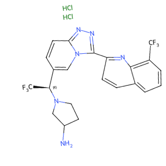 Cl.Cl.NC1CCN([C@H](c2ccc3nnc(-c4ccc5cccc(C(F)(F)F)c5n4)n3c2)C(F)(F)F)C1